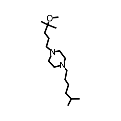 COC(C)(C)CCCN1CCN(CCCCC(C)C)CC1